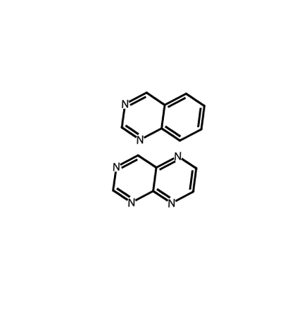 c1ccc2ncncc2c1.c1cnc2ncncc2n1